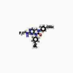 COc1ccc(N2Cc3cnc(NCC(F)(F)F)nc3N(c3ccc(C4CC4)cc3)C2=O)cc1